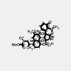 CCN(CC(C)[C@@H]1CC[C@@H](C)[C@]2(O)C([C@H]3[C@@H](C(=O)O)N[C@@H]4ON(C)c5c(Cl)cccc5[C@@]43O)[C@@H](OC(C)=O)C(C)=C[C@H]12)C(=O)OC